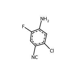 [C-]#[N+]c1cc(F)c(N)cc1Cl